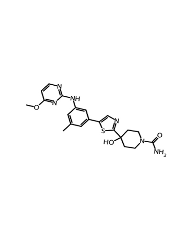 COc1ccnc(Nc2cc(C)cc(-c3cnc(C4(O)CCN(C(N)=O)CC4)s3)c2)n1